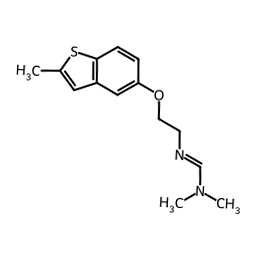 Cc1cc2cc(OCC/N=C/N(C)C)ccc2s1